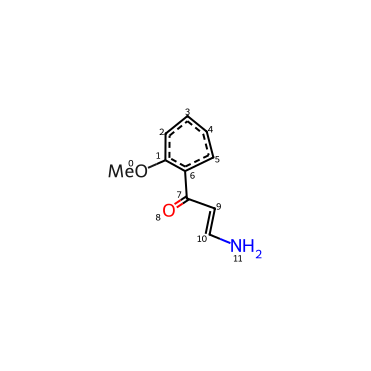 COc1ccccc1C(=O)C=CN